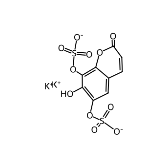 O=c1ccc2cc(OS(=O)(=O)[O-])c(O)c(OS(=O)(=O)[O-])c2o1.[K+].[K+]